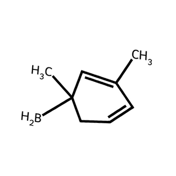 BC1(C)C=C(C)C=CC1